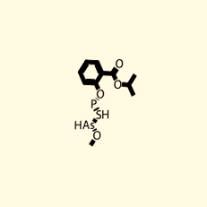 CO[AsH][SH]=POc1ccccc1C(=O)OC(C)C